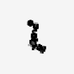 CS(=O)(=O)N1CCN([C@@H](CNS(=O)(=O)c2ccc(OCc3ccnc(-c4ccccc4)c3)cc2)C(=O)O)CC1